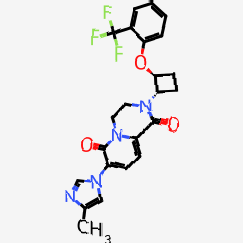 Cc1cn(-c2ccc3n(c2=O)CCN([C@H]2CC[C@@H]2Oc2ccccc2C(F)(F)F)C3=O)cn1